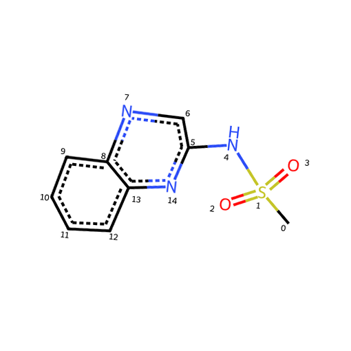 CS(=O)(=O)Nc1cnc2ccccc2n1